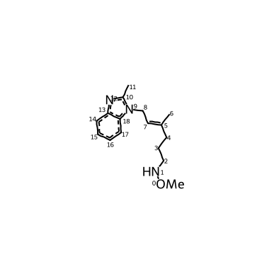 CONCCC/C(C)=C/Cn1c(C)nc2ccccc21